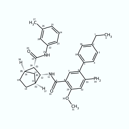 CCc1ccc(-c2cc(C(=O)N[C@@H]3[C@H]4CC[C@H](C4)[C@@H]3C(=O)Nc3cccc(C)c3)c(OC)cc2P)cc1